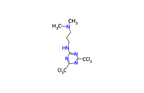 CN(C)CCCNc1nc(C(Cl)(Cl)Cl)nc(C(Cl)(Cl)Cl)n1